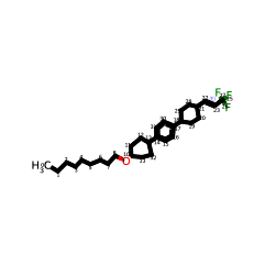 CCCCCCCCCOC1CCC(c2ccc(C3CCC(/C=C/C(F)(F)F)CC3)cc2)CC1